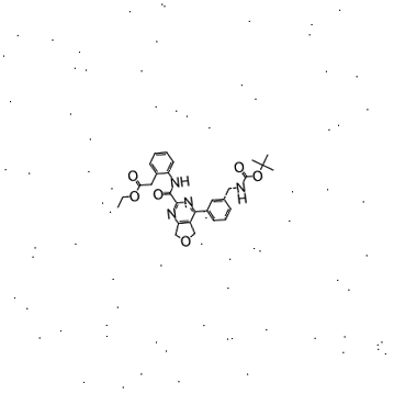 CCOC(=O)Cc1ccccc1NC(=O)c1nc2c(c(-c3cccc(CNC(=O)OC(C)(C)C)c3)n1)COC2